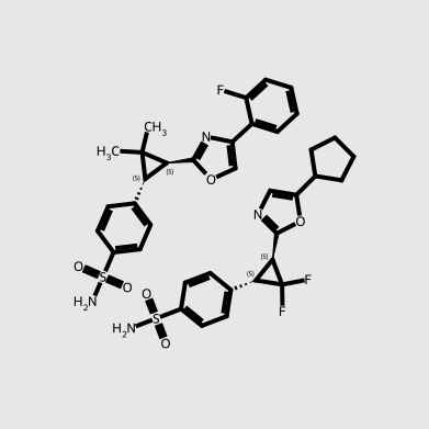 CC1(C)[C@@H](c2ccc(S(N)(=O)=O)cc2)[C@@H]1c1nc(-c2ccccc2F)co1.NS(=O)(=O)c1ccc([C@@H]2[C@@H](c3ncc(C4CCCC4)o3)C2(F)F)cc1